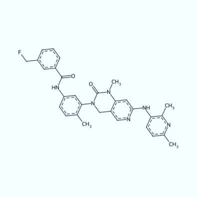 Cc1ccc(Nc2cc3c(cn2)CN(c2cc(NC(=O)c4cccc(CF)c4)ccc2C)C(=O)N3C)c(C)n1